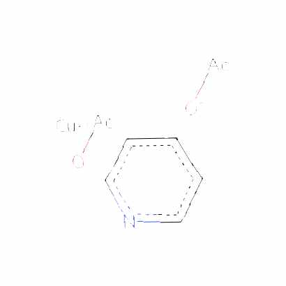 CC(=O)[O-].CC(=O)[O-].[Cu+2].c1ccncc1